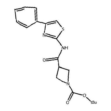 CC(C)(C)OC(=O)N1CC(C(=O)Nc2nc(-c3ccccc3)cs2)C1